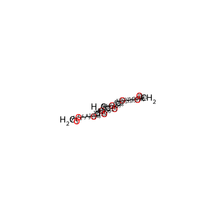 C=CC(=O)OCCCCCCOc1ccc(OC(=O)c2ccc(OC(=O)c3ccc(OCCCCCCOC(=O)C=C)cc3)cc2C)cc1